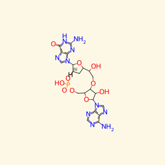 Nc1nc2c(ncn2C2OC3C[C@@H]2OP(=O)(O)OCC2OC(n4cnc5c(N)ncnc54)C(O)C2OCC3O)c(=O)[nH]1